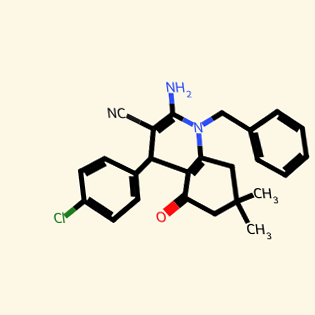 CC1(C)CC(=O)C2=C(C1)N(Cc1ccccc1)C(N)=C(C#N)C2c1ccc(Cl)cc1